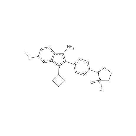 COc1ccc2c(N)c(-c3ccc(N4CCCS4(=O)=O)cc3)n(C3CCC3)c2c1